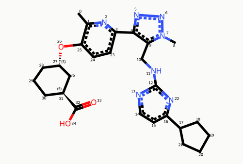 Cc1nc(-c2nnn(C)c2CNc2nccc(C3CCCC3)n2)ccc1O[C@H]1CCC[C@H](C(=O)O)C1